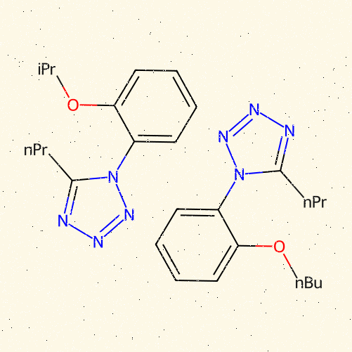 CCCCOc1ccccc1-n1nnnc1CCC.CCCc1nnnn1-c1ccccc1OC(C)C